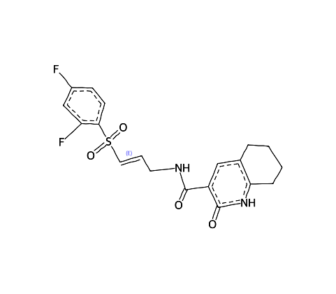 O=C(NC/C=C/S(=O)(=O)c1ccc(F)cc1F)c1cc2c([nH]c1=O)CCCC2